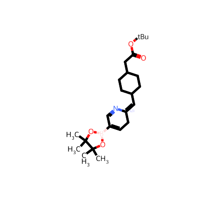 CC(C)(C)OC(=O)CC1CCC(/C=C2/CC=C(B3OC(C)(C)C(C)(C)O3)C=N2)CC1